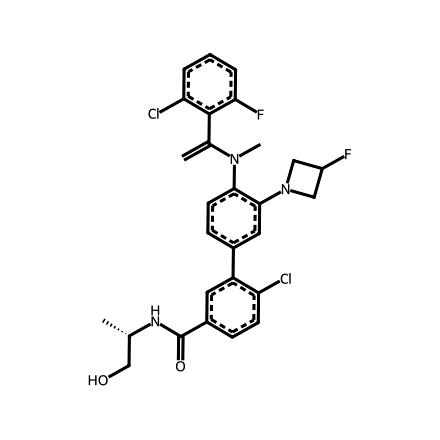 C=C(c1c(F)cccc1Cl)N(C)c1ccc(-c2cc(C(=O)N[C@@H](C)CO)ccc2Cl)cc1N1CC(F)C1